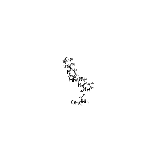 O=CNCCCNc1nc(Nc2ccc(N3CCOCC3)nc2)ncc1C1CC1